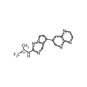 C[C@@H](Nc1ncc2c(-c3cnc4nccnc4c3)ccn2n1)C(F)(F)F